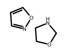 C1COCN1.c1cnoc1